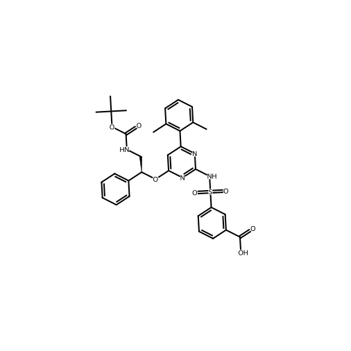 Cc1cccc(C)c1-c1cc(O[C@H](CNC(=O)OC(C)(C)C)c2ccccc2)nc(NS(=O)(=O)c2cccc(C(=O)O)c2)n1